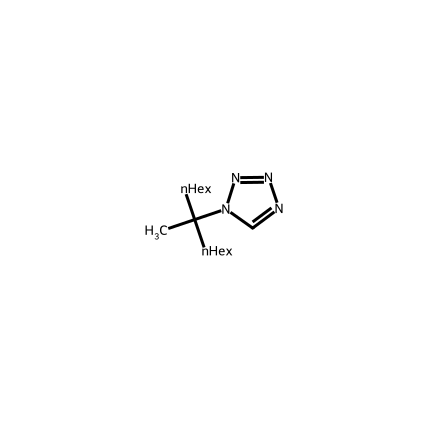 CCCCCCC(C)(CCCCCC)n1cnnn1